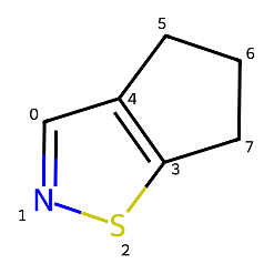 c1nsc2c1CCC2